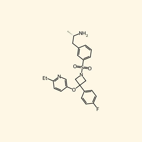 CCc1ccc(OC2(c3ccc(F)cc3)CN(S(=O)(=O)c3cccc(C[C@H](C)N)c3)C2)cn1